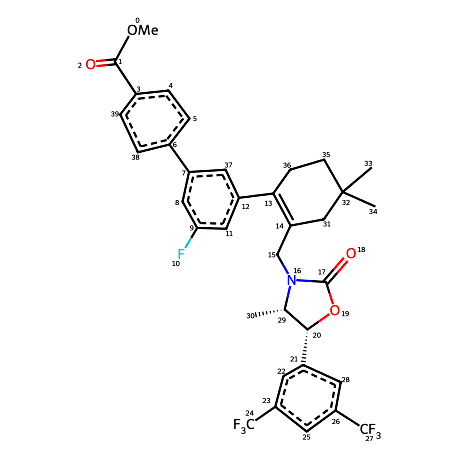 COC(=O)c1ccc(-c2cc(F)cc(C3=C(CN4C(=O)O[C@H](c5cc(C(F)(F)F)cc(C(F)(F)F)c5)[C@@H]4C)CC(C)(C)CC3)c2)cc1